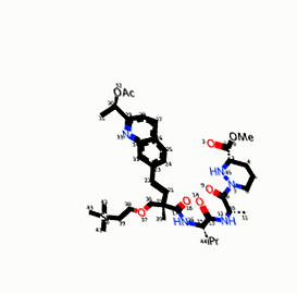 COC(=O)[C@@H]1CCCN(C(=O)[C@H](C)NC(=O)[C@@H](NC(=O)[C@@](C)(/C=C/c2ccc3ccc([C@@H](C)OC(C)=O)nc3c2)COCC[Si](C)(C)C)C(C)C)N1